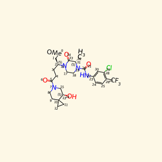 COC[C@H](CCC(=O)N1CCC2(CC2)[C@H](O)C1)N1CCN(C(=O)Nc2ccc(C(F)(F)F)c(Cl)c2)[C@@H](C)C1=O